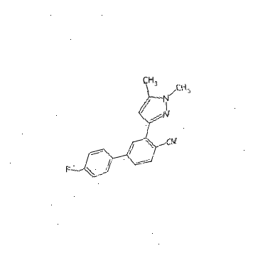 Cc1cc(-c2cc(-c3ccc(F)cc3)ccc2C#N)nn1C